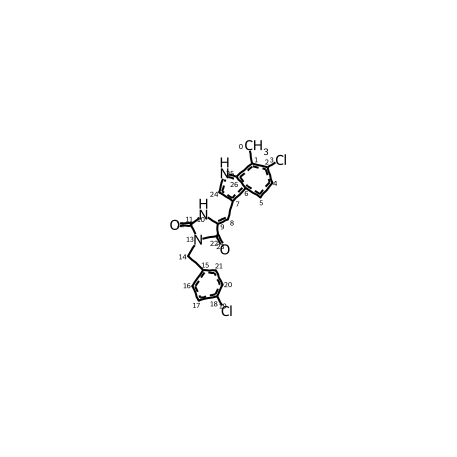 Cc1c(Cl)ccc2c(/C=C3\NC(=O)N(Cc4ccc(Cl)cc4)C3=O)c[nH]c12